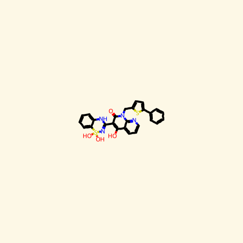 O=c1c(C2=NS(O)(O)c3ccccc3N2)c(O)c2cccnc2n1Cc1ccc(-c2ccccc2)s1